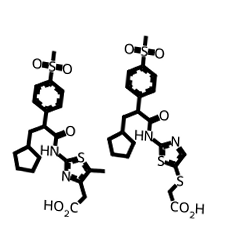 CS(=O)(=O)c1ccc(C(CC2CCCC2)C(=O)Nc2ncc(SCC(=O)O)s2)cc1.Cc1sc(NC(=O)C(CC2CCCC2)c2ccc(S(C)(=O)=O)cc2)nc1CC(=O)O